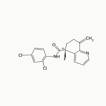 C=C1CC[C@@](F)(C(=O)Nc2ccc(Cl)cc2Cl)c2cccnc21